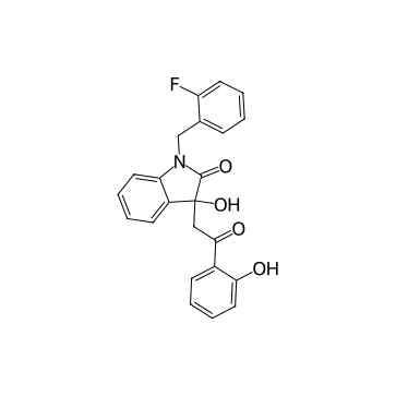 O=C(CC1(O)C(=O)N(Cc2ccccc2F)c2ccccc21)c1ccccc1O